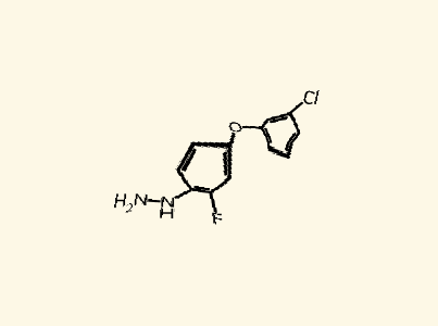 NNc1ccc(Oc2cccc(Cl)c2)cc1F